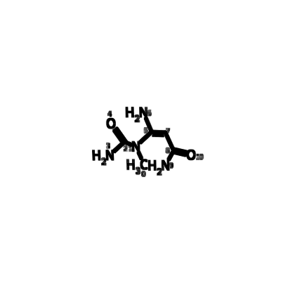 CN(C(N)=O)/C(N)=C\C(N)=O